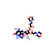 CC1(O)[C@H](OC(=O)CCN2CCOCC2)[C@@H](COC(=O)CCN2CCOCC2)O[C@H]1n1cc2c3c(ncnc31)NC(=O)C=C2N